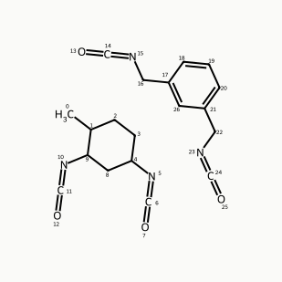 CC1CCC(N=C=O)CC1N=C=O.O=C=NCc1cccc(CN=C=O)c1